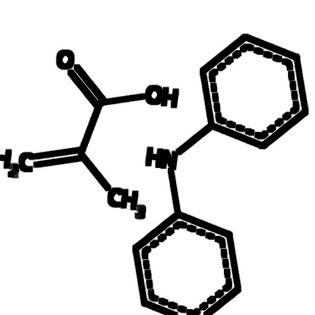 C=C(C)C(=O)O.c1ccc(Nc2ccccc2)cc1